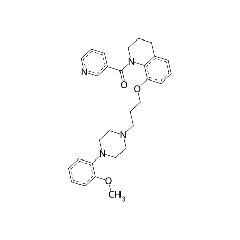 COc1ccccc1N1CCN(CCCOc2cccc3c2N(C(=O)c2cccnc2)CCC3)CC1